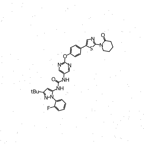 CC(C)(C)c1cc(NC(=O)Nc2cnc(Oc3ccc(-c4cnc(N5CCCCC5=O)s4)cc3)nc2)n(-c2ccccc2F)n1